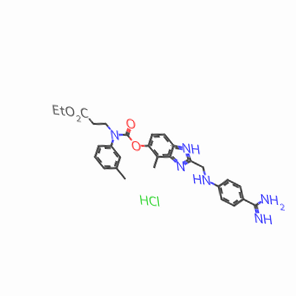 CCOC(=O)CCN(C(=O)Oc1ccc2[nH]c(CNc3ccc(C(=N)N)cc3)nc2c1C)c1cccc(C)c1.Cl